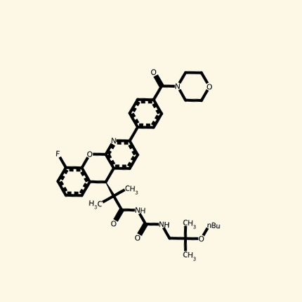 CCCCOC(C)(C)CNC(=O)NC(=O)C(C)(C)[C@@H]1c2ccc(-c3ccc(C(=O)N4CCOCC4)cc3)nc2Oc2c(F)cccc21